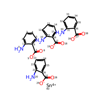 Nc1ccccc1C(=O)[O-].Nc1ccccc1C(=O)[O-].Nc1ccccc1C(=O)[O-].Nc1ccccc1C(=O)[O-].[Sn+4]